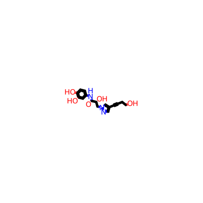 O=C(Nc1ccc(O)c(O)c1)[C@@H](O)Cn1cc(C#CCCO)cn1